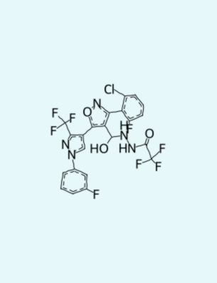 O=C(NNC(O)c1c(-c2c(F)cccc2Cl)noc1-c1cn(-c2cccc(F)c2)nc1C(F)(F)F)C(F)(F)F